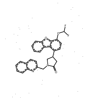 O=C1CC(c2ccc(OC(F)F)c3oc4ccccc4c23)CN1Cc1ccc2ccccc2n1